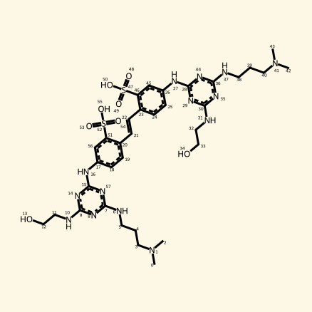 CN(C)CCCNc1nc(NCCO)nc(Nc2ccc(/C=C/c3ccc(Nc4nc(NCCO)nc(NCCCN(C)C)n4)cc3S(=O)(=O)O)c(S(=O)(=O)O)c2)n1